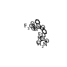 CCc1nc(Cl)c(C(N)=O)n1Cc1ccc2oc(-c3ccccc3NS(=O)(=O)C(F)(F)F)c(Br)c2c1